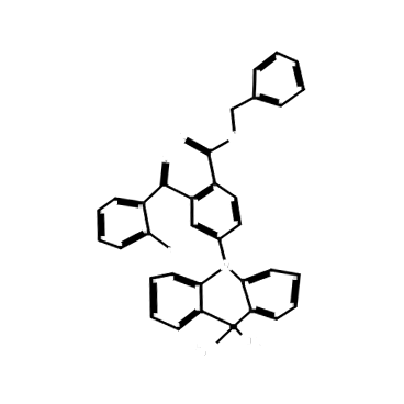 CC1(C)c2ccccc2N(c2ccc(C(=O)OCc3ccccc3)c(C(=O)c3ccccc3I)c2)c2ccccc21